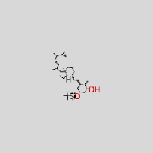 C=C1/C(=C/C=C2\CCC[C@]3(C)[C@@H]([C@@H](C)/C=C/[C@@H](C)C4CC4)CC[C@@H]23)C[C@@H](O[Si](C)(C)C(C)(C)C)C[C@@H]1O